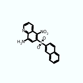 Nc1cc(S(=O)(=O)c2ccc3ccccc3c2)c([N+](=O)[O-])c2cccnc12